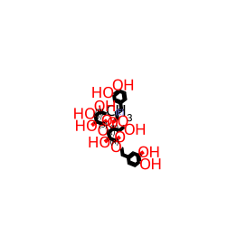 CC1O[C@@H](O[C@@H]2C(O)[C@H](OCCc3ccc(O)c(O)c3)OC(CO)[C@@H]2OC(=O)/C=C/c2ccc(O)c(O)c2)C(O)[C@@H](O)[C@H]1O